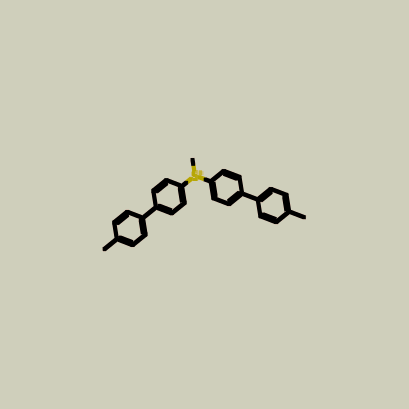 Cc1ccc(-c2ccc([S+](C)c3ccc(-c4ccc(C)cc4)cc3)cc2)cc1